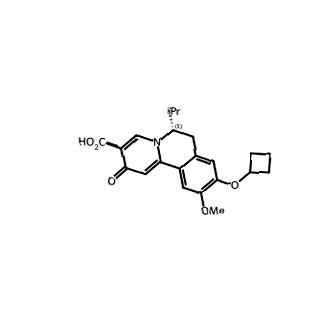 COc1cc2c(cc1OC1CCC1)C[C@@H](C(C)C)n1cc(C(=O)O)c(=O)cc1-2